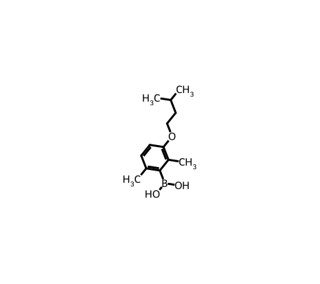 Cc1ccc(OCCC(C)C)c(C)c1B(O)O